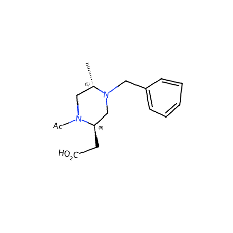 CC(=O)N1C[C@H](C)N(Cc2ccccc2)C[C@H]1CC(=O)O